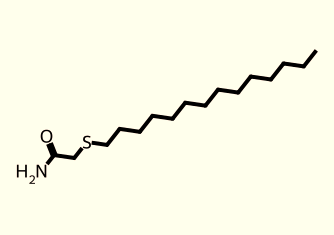 CCCCCCCCCCCCCCSCC(N)=O